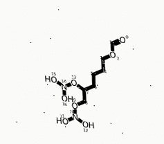 O=COCCCCC(CON(O)O)ON(O)O